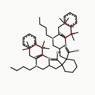 CCCCN(CC(CC1(C(=O)O)CCCCC1(CC(CN(CCCC)C1CC(C)(C)NC(C)(C)C1)OC(=O)Nc1ccccc1)C(=O)O)OC(=O)Nc1ccccc1)C1CC(C)(C)NC(C)(C)C1